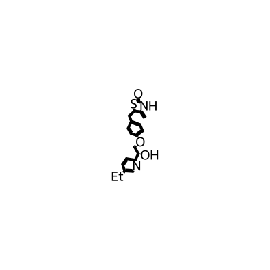 C=C1NC(=O)SC1Cc1ccc(OC[C@H](O)c2ccc(CC)cn2)cc1